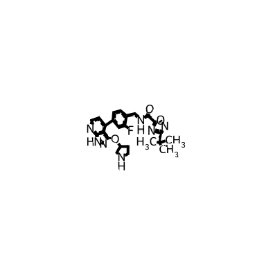 CC(C)(C)c1noc(C(=O)NCc2ccc(-c3ccnc4[nH]nc(OC5CCNC5)c34)cc2F)n1